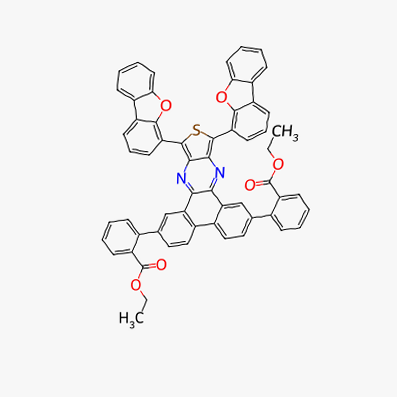 CCOC(=O)c1ccccc1-c1ccc2c3ccc(-c4ccccc4C(=O)OCC)cc3c3nc4c(-c5cccc6c5oc5ccccc56)sc(-c5cccc6c5oc5ccccc56)c4nc3c2c1